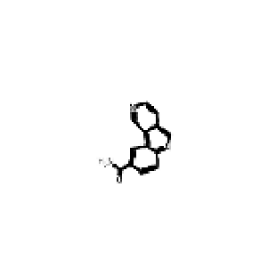 NC(=O)c1ccc2ncc3ccncc3c2c1